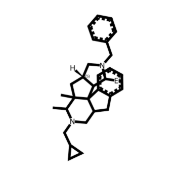 CCC1C2[C@@H](CN1Cc1ccccc1)CC1(C)C(C)N(CC3CC3)CC3Cc4ccccc4C321